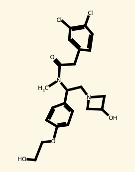 CN(C(=O)Cc1ccc(Cl)c(Cl)c1)C(CN1CC(O)C1)c1ccc(OCCO)cc1